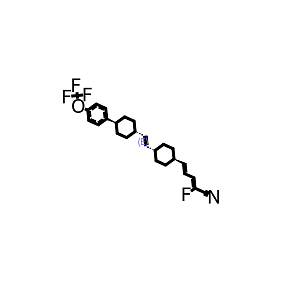 N#CC(F)=CC=C[C@H]1CC[C@H](/C=C/[C@H]2CC[C@H](c3ccc(OC(F)(F)F)cc3)CC2)CC1